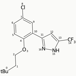 CC(C)(C)CCOc1ccc(Cl)cc1-c1cc(C(F)(F)F)[nH]n1